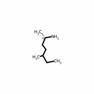 CCC(C)CC[C@H](C)N